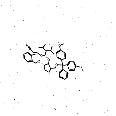 COc1ccc(C(OC[C@H]2OC[C@H](OCc3ccccc3C)[C@@H]2OP(OCCC#N)N(C(C)C)C(C)C)(c2ccccc2)c2ccc(OC)cc2)cc1